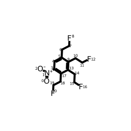 O=[N+]([O-])c1cc(CCF)c(CCF)c(CCF)c1CCF